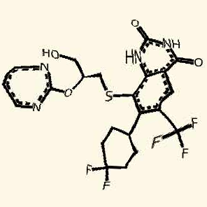 O=c1[nH]c(=O)c2cc(C(F)(F)F)c(C3CCC(F)(F)CC3)c(SC[C@H](CO)Oc3ncccn3)c2[nH]1